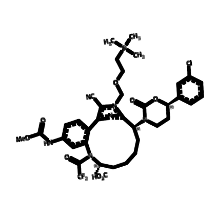 COC(=O)Nc1ccc2c(c1)N(C(=O)C(F)(F)F)[C@@H](C(=O)O)CCCC[C@H](N1CC[C@H](c3cccc(Cl)c3)OC1=O)c1nc-2c(C#N)n1COCC[Si](C)(C)C